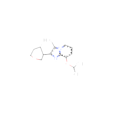 Cc1c(C2CCCOC2)nc2c(OC(C)C)cccn12